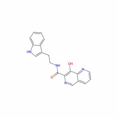 O=C(NCCc1c[nH]c2ccccc12)c1ncc2cccnc2c1O